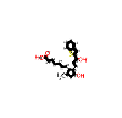 C=C1C[C@@H](O)[C@H](CCC(O)c2cc3ccccc3s2)[C@H]1CC=CCCCC(=O)O